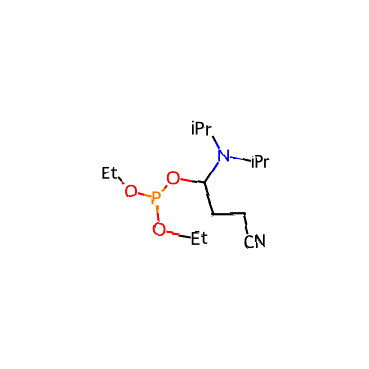 CCOP(OCC)OC(CCC#N)N(C(C)C)C(C)C